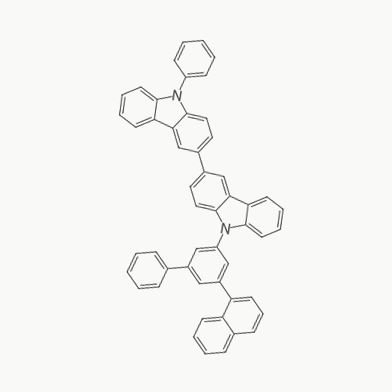 c1ccc(-c2cc(-c3cccc4ccccc34)cc(-n3c4ccccc4c4cc(-c5ccc6c(c5)c5ccccc5n6-c5ccccc5)ccc43)c2)cc1